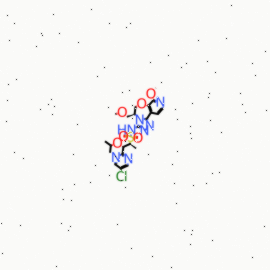 COC[C@H]1COc2c(ccnc2OC)-c2nnc(NS(=O)(=O)[C@@H](C)[C@@H](OC(C)C)c3ncc(Cl)cn3)n21